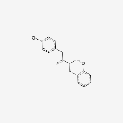 C=C(Cc1ccc(Cl)cc1)C1=Cc2ccccc2OC1